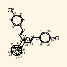 O=C(C=Cc1ccc(Cl)cc1)[C]12[CH]3[CH]4[CH]5[CH]1[Fe]45321678[CH]2[CH]1[CH]6[C]7(C(=O)C=Cc1ccc(Cl)cc1)[CH]28